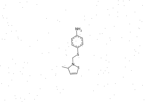 CC1C=CSN1CSc1ccc(N)cc1